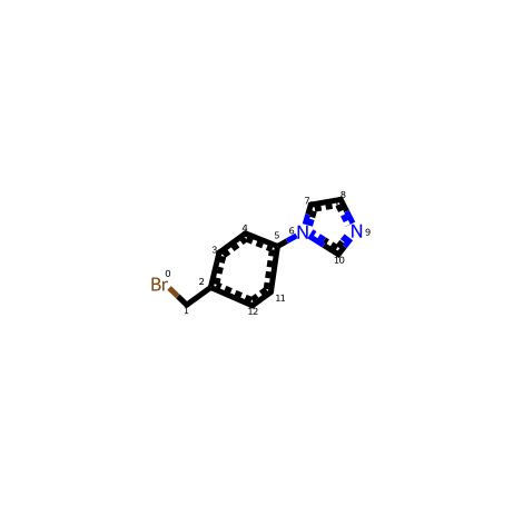 BrCc1ccc(-n2ccnc2)cc1